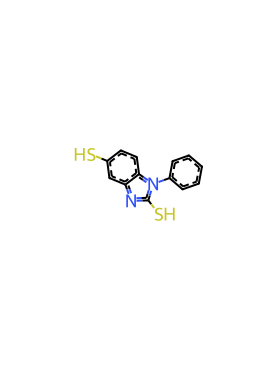 Sc1ccc2c(c1)nc(S)n2-c1ccccc1